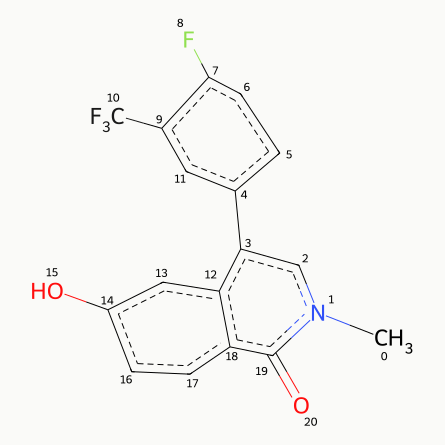 Cn1cc(-c2ccc(F)c(C(F)(F)F)c2)c2cc(O)ccc2c1=O